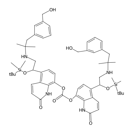 CC(C)(Cc1cccc(CO)c1)NCC(O[Si](C)(C)C(C)(C)C)c1ccc(OC(=O)Oc2ccc(C(CNC(C)(C)Cc3cccc(CO)c3)O[Si](C)(C)C(C)(C)C)c3ccc(=O)[nH]c23)c2[nH]c(=O)ccc12